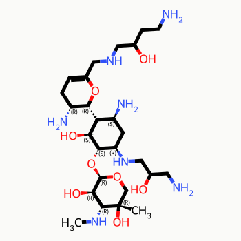 CN[C@@H]1[C@@H](O)[C@@H](O[C@H]2[C@H](NCC(O)CN)C[C@H](N)C([C@H]3OC(CNCC(O)CCN)=CC[C@H]3N)[C@@H]2O)OC[C@]1(C)O